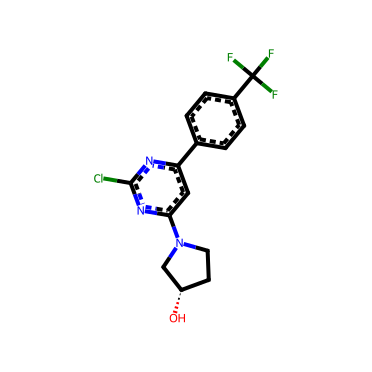 O[C@H]1CCN(c2cc(-c3ccc(C(F)(F)F)cc3)nc(Cl)n2)C1